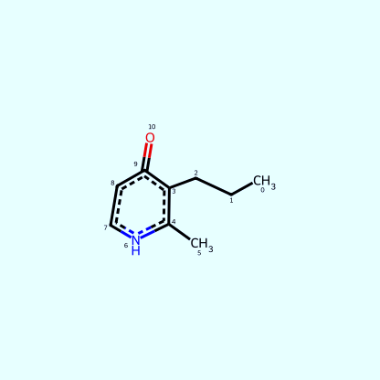 CCCc1c(C)[nH]ccc1=O